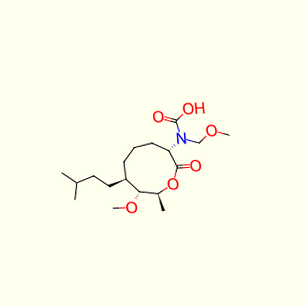 COCN(C(=O)O)[C@H]1CCC[C@H](CCC(C)C)[C@@H](OC)[C@H](C)OC1=O